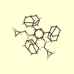 c1c(C23CC4CC(CC(C4)C2)C3)c(OCC2CO2)c(C23CC4CC(CC(C4)C2)C3)c(OCC2CO2)c1C12CC3CC(CC(C3)C1)C2